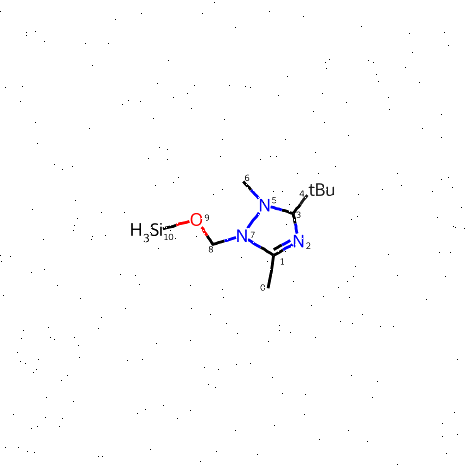 CC1=NC(C(C)(C)C)N(C)N1CO[SiH3]